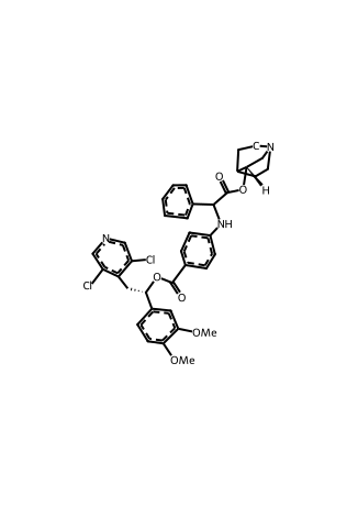 COc1ccc([C@H](Cc2c(Cl)cncc2Cl)OC(=O)c2ccc(NC(C(=O)O[C@H]3CN4CCC3CC4)c3ccccc3)cc2)cc1OC